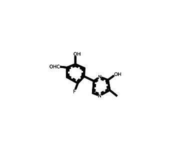 Cc1ncc(-c2cc(O)c(C=O)cc2F)nc1O